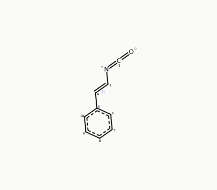 O=C=N/C=C/c1ccccc1